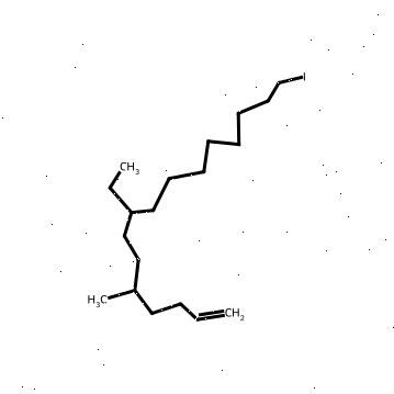 C=CCCC(C)CCC(CC)CCCCCCCCI